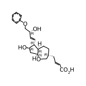 O=C(O)C=CC[C@H]1CC[C@@H]2[C@@H](C=C[C@@H](O)COc3ccccc3)[C@H](O)C[C@@H]2OC1